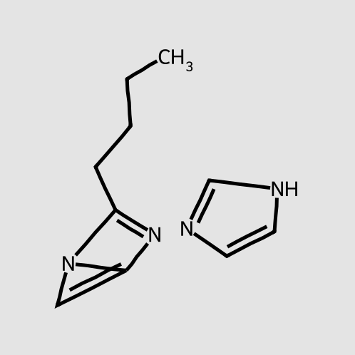 CCCCc1nc2cn1-2.c1c[nH]cn1